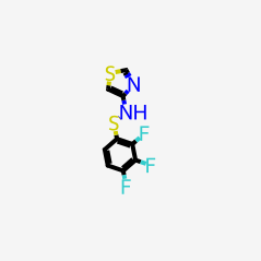 Fc1ccc(SNc2cscn2)c(F)c1F